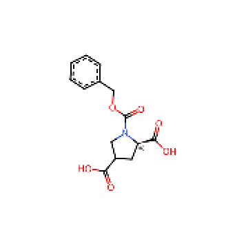 O=C(O)C1C[C@H](C(=O)O)N(C(=O)OCc2ccccc2)C1